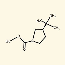 CC(C)(C)OC(=O)N1CC[C@H](C(C)(C)N)C1